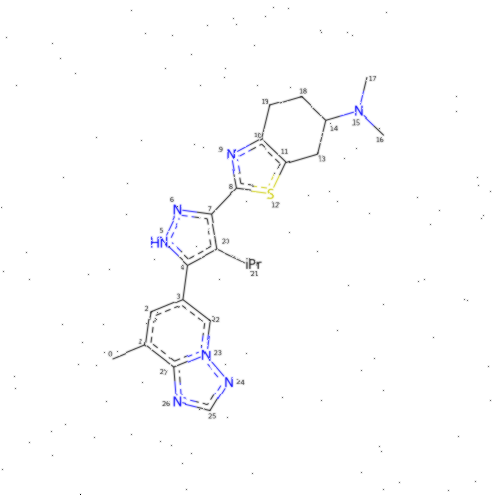 Cc1cc(-c2[nH]nc(-c3nc4c(s3)CC(N(C)C)CC4)c2C(C)C)cn2ncnc12